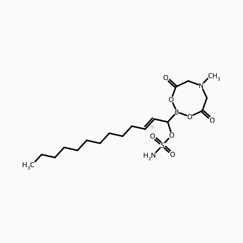 CCCCCCCCCC/C=C/C(OS(N)(=O)=O)B1OC(=O)CN(C)CC(=O)O1